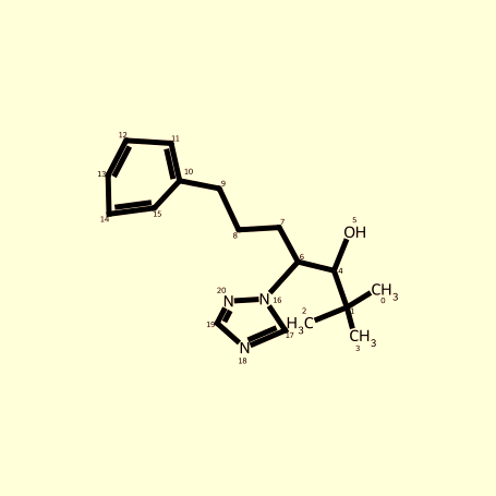 CC(C)(C)C(O)C(CCCc1ccccc1)n1cncn1